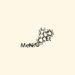 CC/C(=C(/c1cc[c]cc1)c1ccc(OCCNC)cc1)c1ccccc1